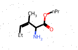 CCC=C(C)C(N)C(=O)OCCC